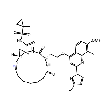 COc1ccc2c(OCC[C@@H]3NC(=O)CCCCC/C=C\[C@@H]4C[C@@]4(C(=O)NS(=O)(=O)C4(C)CC4)NC3=O)cc(-n3ccc(C(C)C)n3)nc2c1C